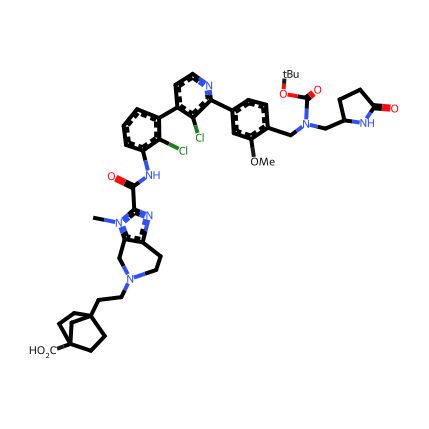 COc1cc(-c2nccc(-c3cccc(NC(=O)c4nc5c(n4C)CN(CCC46CCC(C(=O)O)(CC4)C6)CC5)c3Cl)c2Cl)ccc1CN(CC1CCC(=O)N1)C(=O)OC(C)(C)C